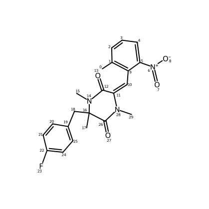 Cc1cccc([N+](=O)[O-])c1C=C1C(=O)N(C)C(C)(Cc2ccc(F)cc2)C(=O)N1C